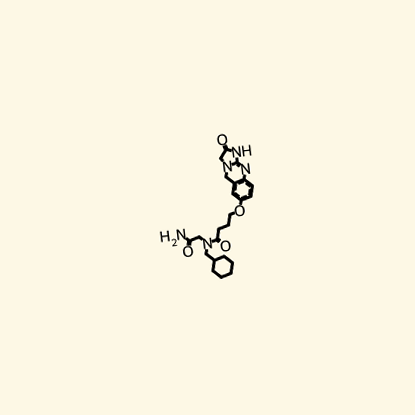 NC(=O)CN(CC1CCCCC1)C(=O)CCCOc1ccc2c(c1)CN1CC(=O)NC1=N2